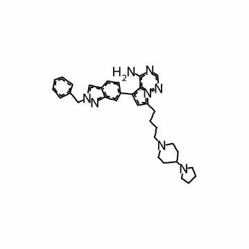 Nc1ncnn2c(CCCCN3CCC(N4CCCC4)CC3)cc(-c3ccc4cn(Cc5ccccc5)nc4c3)c12